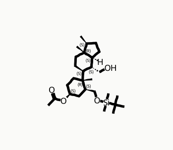 CC(=O)O[C@H]1CC[C@](C)([C@H]2CC[C@]3(C)[C@@H](C)CC[C@H]3[C@@H]2CO)[C@@H](CO[Si](C)(C)C(C)(C)C)C1